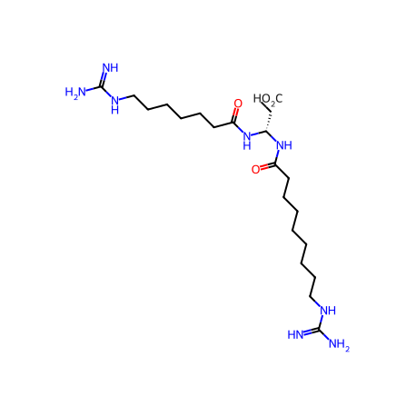 N=C(N)NCCCCCCCCC(=O)N[C@@H](CC(=O)O)NC(=O)CCCCCCNC(=N)N